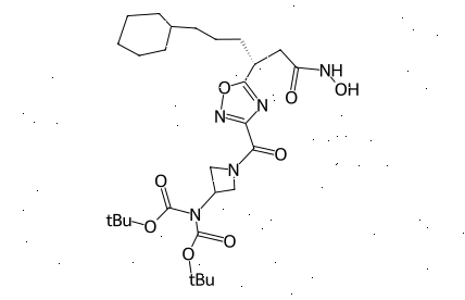 CC(C)(C)OC(=O)N(C(=O)OC(C)(C)C)C1CN(C(=O)c2noc([C@H](CCCC3CCCCC3)CC(=O)NO)n2)C1